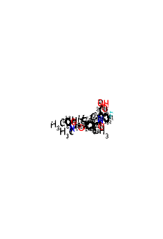 Cc1ccc2c(c1)N(C)C[C@@H](COc1cc(C)c(C(=O)n3c(C)c(CC(=O)O)c4cc(F)ccc43)cc1C)O2